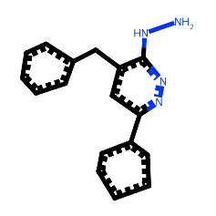 NNc1nnc(-c2ccccc2)cc1Cc1ccccc1